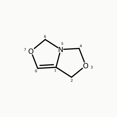 C1=C2COCN2CO1